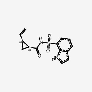 C=C[C@@H]1C[C@@H]1C(=O)NS(=O)(=O)c1cccc2cc[nH]c12